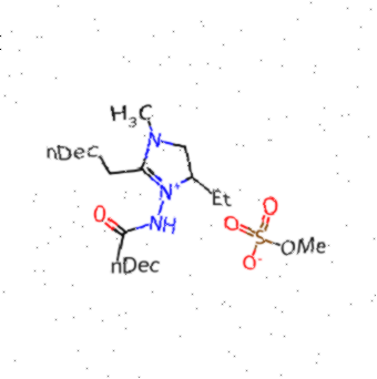 CCCCCCCCCCCC1=[N+](NC(=O)CCCCCCCCCC)C(CC)CN1C.COS(=O)(=O)[O-]